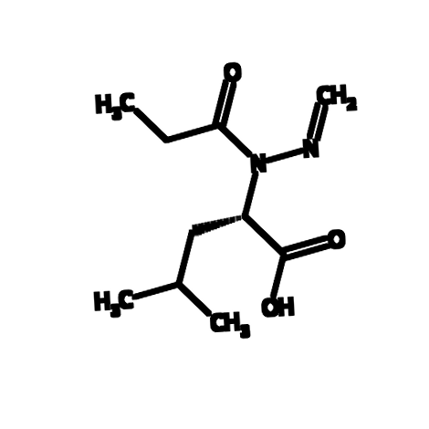 C=NN(C(=O)CC)[C@@H](CC(C)C)C(=O)O